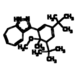 COC1(C)C(c2n[nH]c3c2C=CC=CC3)=CC(C(C)(C)C)=CC1C(C)(C)C